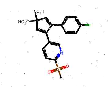 CS(=O)(=O)c1ccc(C2=CC(C(=O)O)(C(=O)O)C=C2c2ccc(F)cc2)cn1